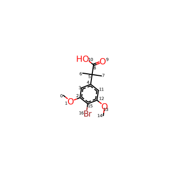 COc1cc(C(C)(C)C(=O)O)cc(OC)c1Br